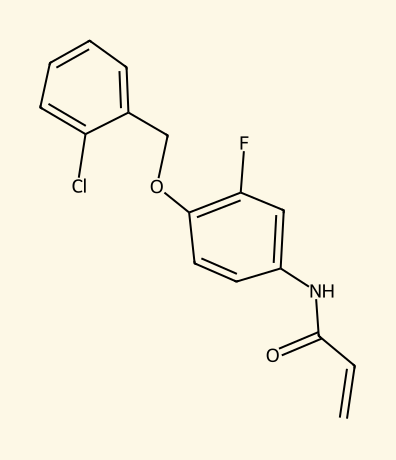 C=CC(=O)Nc1ccc(OCc2ccccc2Cl)c(F)c1